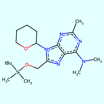 Cc1nc(N(C)C)c2nc(CO[Si](C)(C)C(C)(C)C)n(C3CCCCO3)c2n1